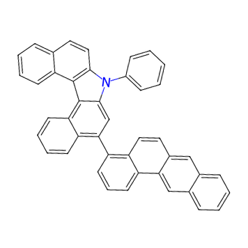 c1ccc(-n2c3ccc4ccccc4c3c3c4ccccc4c(-c4cccc5c4ccc4cc6ccccc6cc45)cc32)cc1